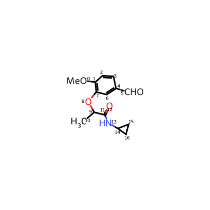 COc1ccc(C=O)cc1OC(C)C(=O)NC1CC1